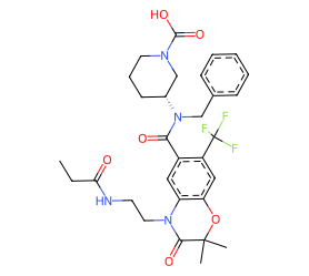 CCC(=O)NCCN1C(=O)C(C)(C)Oc2cc(C(F)(F)F)c(C(=O)N(Cc3ccccc3)[C@@H]3CCCN(C(=O)O)C3)cc21